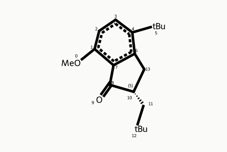 COc1ccc(C(C)(C)C)c2c1C(=O)[C@@H](CC(C)(C)C)C2